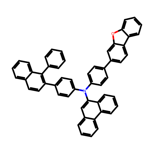 c1ccc(-c2c(-c3ccc(N(c4ccc(-c5ccc6c(c5)oc5ccccc56)cc4)c4cc5ccccc5c5ccccc45)cc3)ccc3ccccc23)cc1